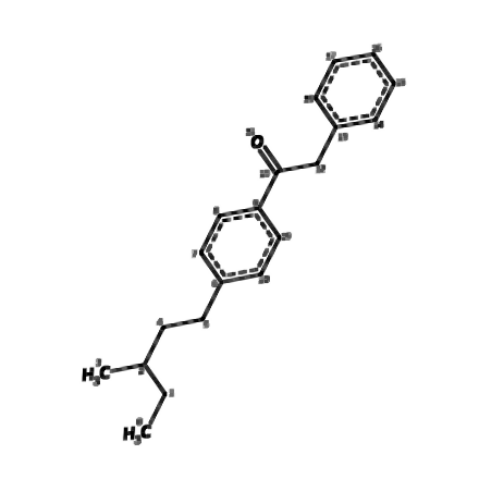 CCC(C)CCc1ccc(C(=O)Cc2ccccc2)cc1